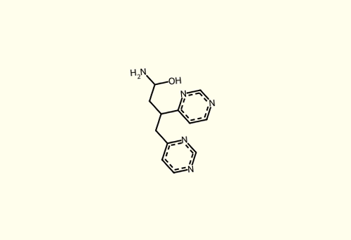 NC(O)CC(Cc1ccncn1)c1ccncn1